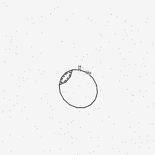 c1cc2ccc1CCCCCCCCCCNN2